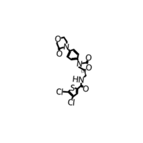 O=C(NC[C@H]1CN(c2ccc(N3CCOCC3=O)cc2)C(=O)O1)c1cc(Cl)c(Cl)s1